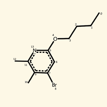 CCCCOc1cc(Br)c(C)c(C)n1